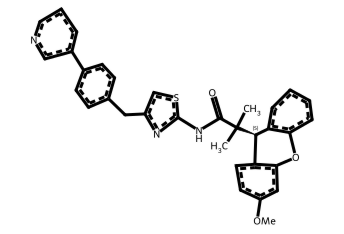 COc1ccc2c(c1)Oc1ccccc1[C@@H]2C(C)(C)C(=O)Nc1nc(Cc2ccc(-c3cccnc3)cc2)cs1